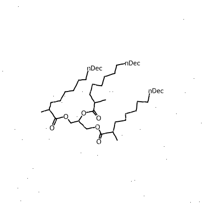 CCCCCCCCCCCCCCCCC(C)C(=O)OCC(COC(=O)C(C)CCCCCCCCCCCCCCCC)OC(=O)C(C)CCCCCCCCCCCCCCCC